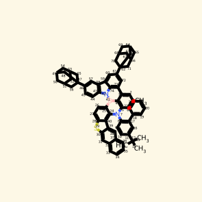 Cc1cc2c3c(c1)N(c1ccc(C(C)(C)C)cc1-c1ccccc1)c1c(ccc4sc5cc6ccccc6cc5c14)B3n1c3ccc(C45CC6CC(CC(C6)C4)C5)cc3c3cc(C45CC6CC(CC(C6)C4)C5)cc-2c31